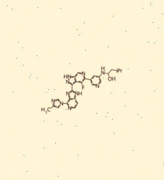 Cc1cn(-c2nccc3[nH]c(-c4n[nH]c5cnc(-c6cncc(NC(O)CC(C)C)c6)c(F)c45)nc23)cn1